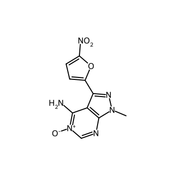 Cn1nc(-c2ccc([N+](=O)[O-])o2)c2c(N)[n+]([O-])cnc21